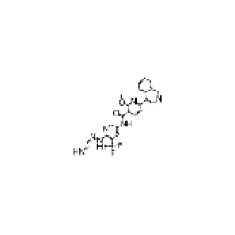 COc1nc(-c2cncc3ccccc23)ccc1C(=O)Nc1cnc(N/N=C\C=N)c(C(F)(F)F)c1